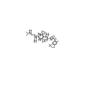 COc1nc(NCCNC(C)C)nc(OC)c1NC(=O)c1coc(Oc2cc3c(cc2C)CCC3(C)C)n1